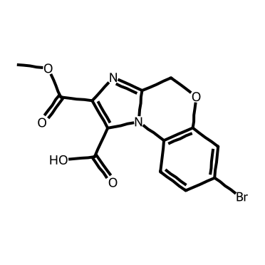 COC(=O)c1nc2n(c1C(=O)O)-c1ccc(Br)cc1OC2